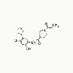 C=CC(=O)N1CCN(C(=O)CNc2cc(C3=CCSC3)c(Cl)cc2O)CC1